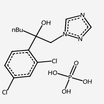 CCCCC(O)(Cn1cncn1)c1ccc(Cl)cc1Cl.O=P(O)(O)O